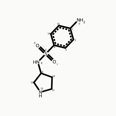 Nc1ccc(S(=O)(=O)NC2CCNC2)cc1